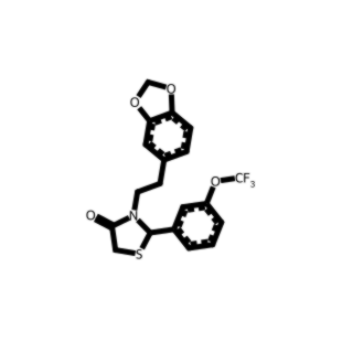 O=C1CSC(c2cccc(OC(F)(F)F)c2)N1CCc1ccc2c(c1)OCO2